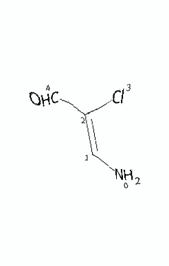 N/C=C(\Cl)C=O